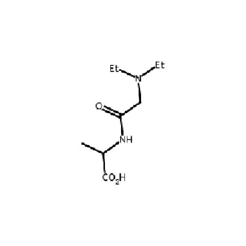 CCN(CC)CC(=O)NC(C)C(=O)O